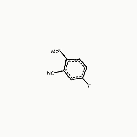 CNc1c[c]c(F)cc1C#N